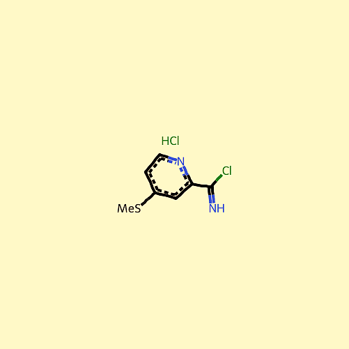 CSc1ccnc(C(=N)Cl)c1.Cl